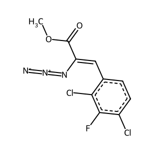 COC(=O)/C(=C/c1ccc(Cl)c(F)c1Cl)N=[N+]=[N-]